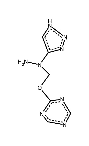 NN(COc1ncncn1)c1c[nH]nn1